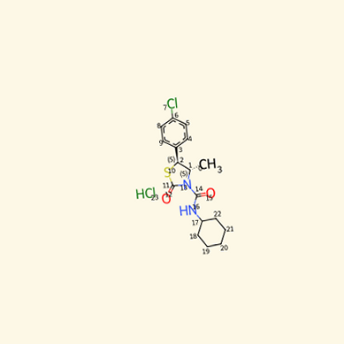 C[C@H]1[C@H](c2ccc(Cl)cc2)SC(=O)N1C(=O)NC1CCCCC1.Cl